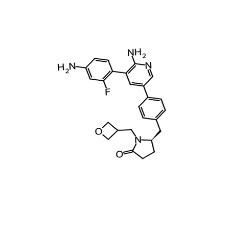 Nc1ccc(-c2cc(-c3ccc(C[C@H]4CCC(=O)N4CC4COC4)cc3)cnc2N)c(F)c1